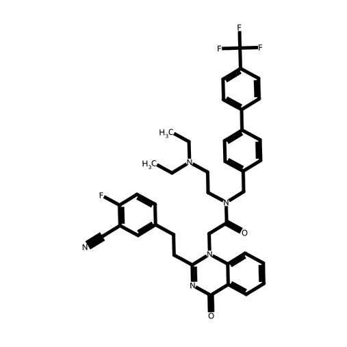 CCN(CC)CCN(Cc1ccc(-c2ccc(C(F)(F)F)cc2)cc1)C(=O)Cn1c(CCc2ccc(F)c(C#N)c2)nc(=O)c2ccccc21